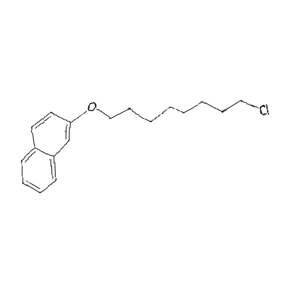 ClCCCCCCCCOc1ccc2ccccc2c1